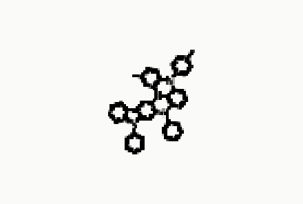 Cc1ccc(N2c3ccc(C)cc3B3c4cc5c6ccccc6n(-c6ccccc6)c5cc4N(c4ccccc4)c4cccc2c43)cc1